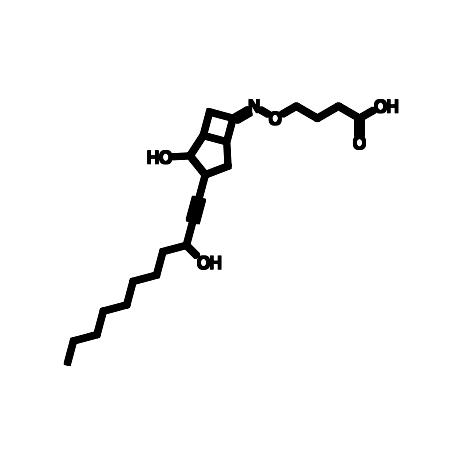 CCCCCCCCC(O)C#CC1CC2C(=NOCCCC(=O)O)CC2C1O